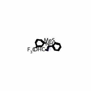 CSc1ccccc1/C(=C/C=O)Nc1cccc(C(F)(F)F)c1